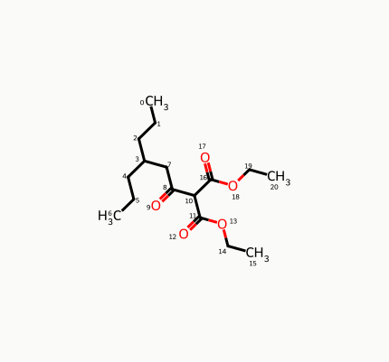 CCCC(CCC)CC(=O)C(C(=O)OCC)C(=O)OCC